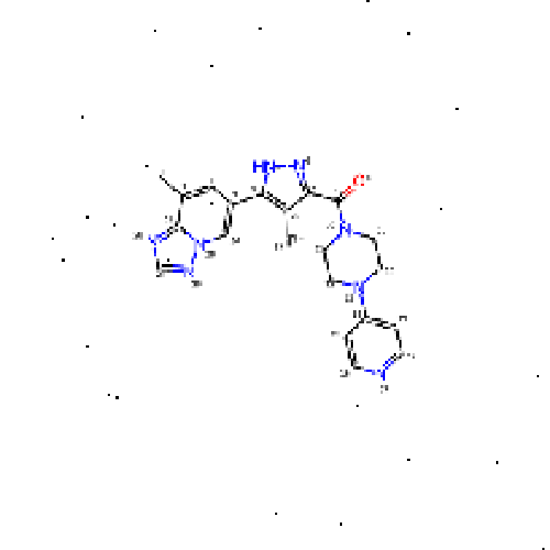 Cc1cc(-c2[nH]nc(C(=O)N3CCN(c4ccncc4)CC3)c2C(C)C)cn2ncnc12